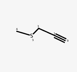 C#CCSC